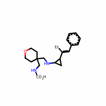 CC/C(=C\c1ccccc1)C1CC1NCC1(CNC(=O)O)CCOCC1